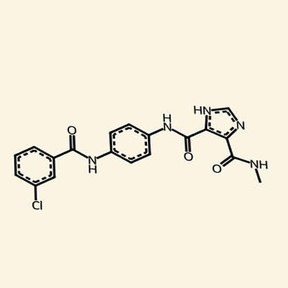 CNC(=O)c1nc[nH]c1C(=O)Nc1ccc(NC(=O)c2cccc(Cl)c2)cc1